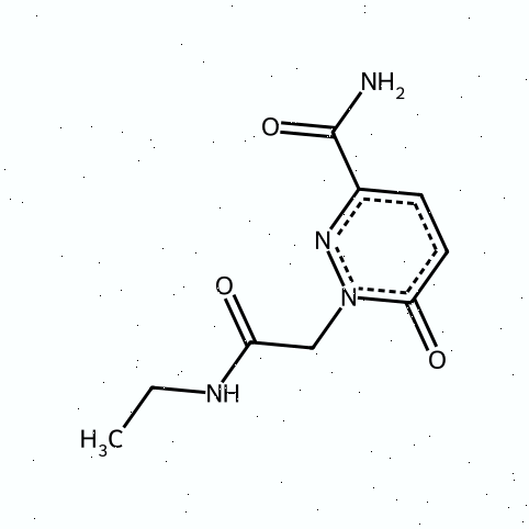 CCNC(=O)Cn1nc(C(N)=O)ccc1=O